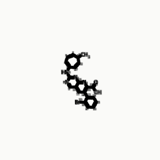 CC1C=CC=C(Nc2ncc3cc(-c4ccccc4Br)c(C(=O)O)nc3n2)C=C1